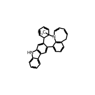 CC12C=CC=CC1c1cc3[nH]c4ccccc4c3cc1-c1cccc3c1N2/C=C\C=C/C3